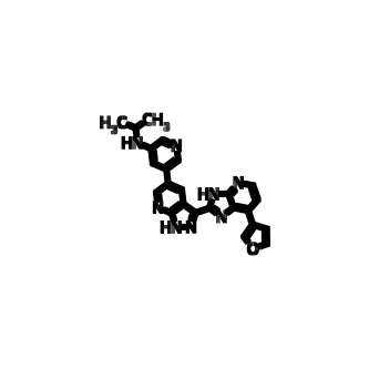 CC(C)Nc1cncc(-c2cnc3[nH]nc(-c4nc5c(-c6ccoc6)ccnc5[nH]4)c3c2)c1